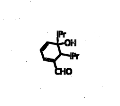 CC(C)C1C(C=O)=CC=CC1(O)C(C)C